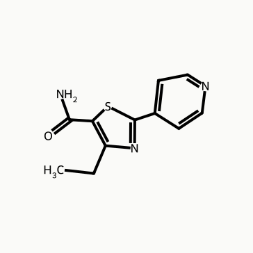 CCc1nc(-c2ccncc2)sc1C(N)=O